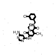 CCn1c(C(=O)NCc2cccc(Cl)c2)c(C)cc(Nc2cc(N)ncn2)c1=O